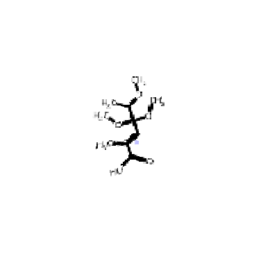 COC(C)C(/C=C(\C)C(=O)O)(OC)OC